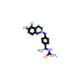 CC(=O)N[C@@H](C)c1ccc(CN2CCc3c(ccc(Cl)c3Cl)C2)cc1